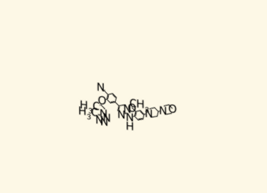 COc1cc(N2CCC(N3CCOCC3)CC2)ccc1Nc1ncc(-c2ccc(C#N)c(O[C@@H](C)Cn3nnnc3C)c2)cn1